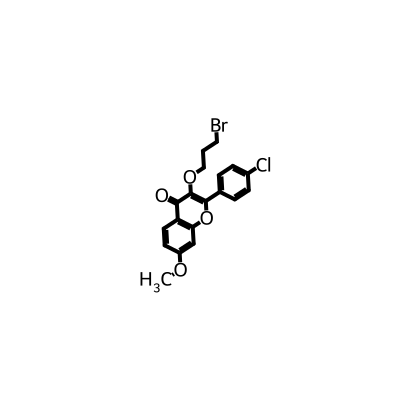 COc1ccc2c(=O)c(OCCCBr)c(-c3ccc(Cl)cc3)oc2c1